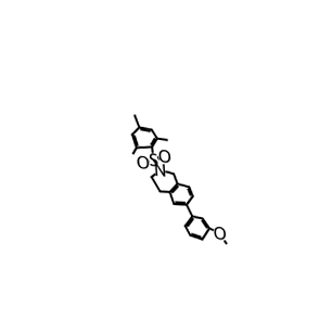 COc1cccc(-c2ccc3c(c2)CCN(S(=O)(=O)c2c(C)cc(C)cc2C)C3)c1